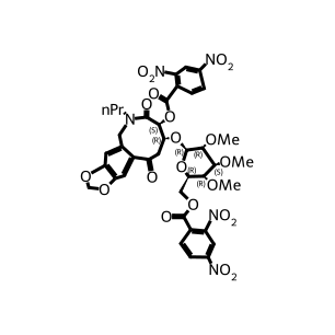 CCCN1Cc2cc3c(cc2C(=O)C[C@@H](O[C@@H]2O[C@H](COC(=O)c4ccc([N+](=O)[O-])cc4[N+](=O)[O-])[C@@H](OC)[C@H](OC)[C@H]2OC)[C@H](OC(=O)c2ccc([N+](=O)[O-])cc2[N+](=O)[O-])C1=O)OCO3